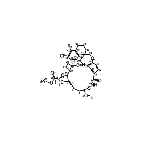 C/C1=C\CCC(C)SNC(=O)c2ccc3c(c2)N(C[C@@H]2CCC2C1OCC(=O)OC(C)C)CC1(CCCc2c1ccc(Cl)c2F)CO3